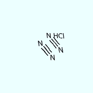 Cl.N#N.N#N